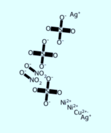 O=S(=O)([O-])[O-].O=S(=O)([O-])[O-].O=S(=O)([O-])[O-].O=[N+]([O-])[O-].O=[N+]([O-])[O-].[Ag+].[Ag+].[Cu+2].[Ni+2].[Ni+2]